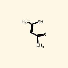 CC(=S)/C=C(/C)S